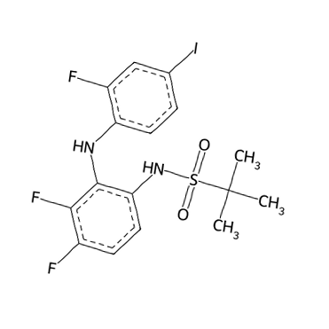 CC(C)(C)S(=O)(=O)Nc1ccc(F)c(F)c1Nc1ccc(I)cc1F